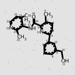 Cc1ccc(-c2cccc(CO)c2)nc1C(=O)Nc1c(C)ccnc1C